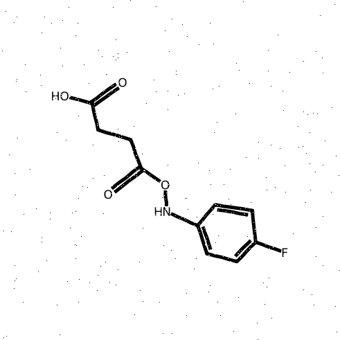 O=C(O)CCC(=O)ONc1ccc(F)cc1